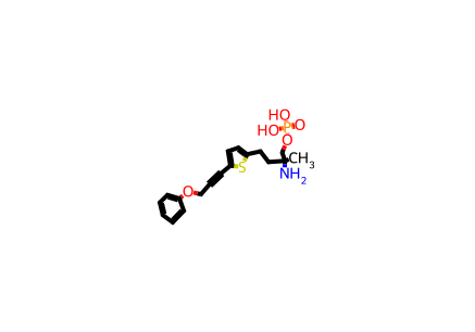 CC(N)(CCc1ccc(C#CCOc2ccccc2)s1)COP(=O)(O)O